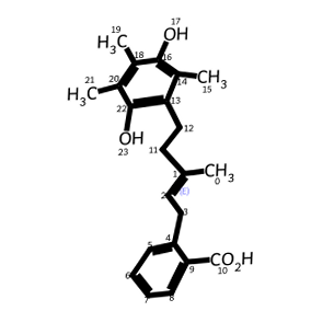 C/C(=C\Cc1ccccc1C(=O)O)CCc1c(C)c(O)c(C)c(C)c1O